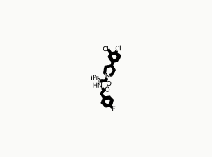 CC(C)[C@@H](NC(=O)Cc1ccc(F)cc1)C(=O)N1CCC(c2ccc(Cl)c(Cl)c2)CC1